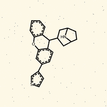 c1ccc2c(c1)Oc1cc(-c3ccsc3)ccc1C2C1CC2CCC(C1)N2